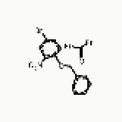 CCC(=O)CC.O=[N+]([O-])c1cc(Br)ccc1OCc1ccccc1